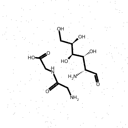 NCC(=O)NCC(=O)O.N[C@@H](C=O)[C@@H](O)[C@@H](O)[C@H](O)CO